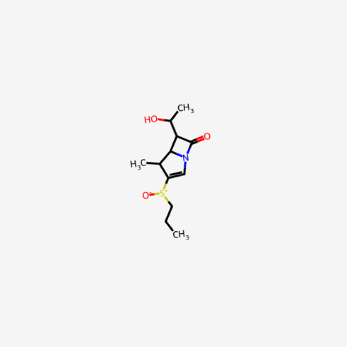 CCC[S+]([O-])C1=CN2C(=O)C(C(C)O)C2C1C